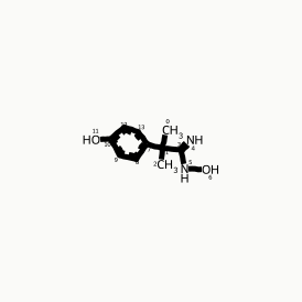 CC(C)(C(=N)NO)c1ccc(O)cc1